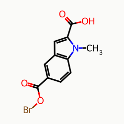 Cn1c(C(=O)O)cc2cc(C(=O)OBr)ccc21